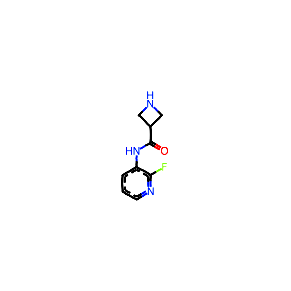 O=C(Nc1cccnc1F)C1CNC1